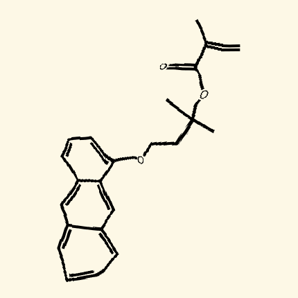 C=C(C)C(=O)OC(C)(C)CCOc1cccc2cc3ccccc3cc12